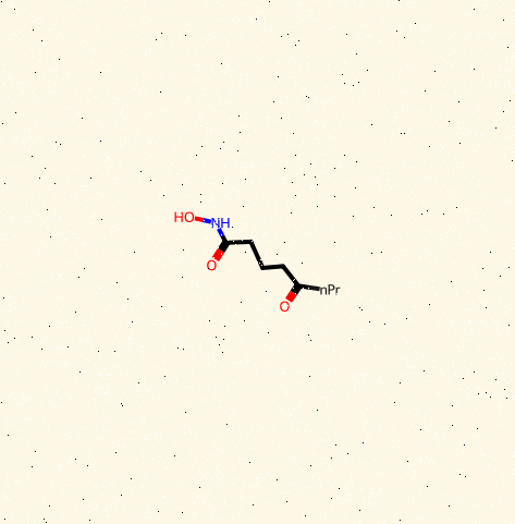 CCCC(=O)CCCC(=O)NO